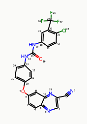 N#Cc1cnc2ccc(Oc3ccc(NC(=O)Nc4ccc(Cl)c(C(F)(F)F)c4)cc3)cc2n1